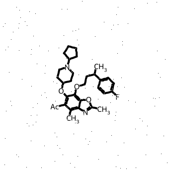 CC(=O)c1c(OC2CCN(C3CCCC3)CC2)c(OCCC(C)c2ccc(F)cc2)c2oc(C)nc2c1C